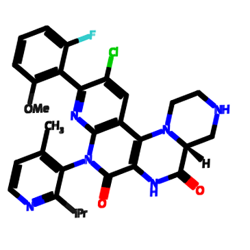 COc1cccc(F)c1-c1nc2c(cc1Cl)c1c(c(=O)n2-c2c(C)ccnc2C(C)C)NC(=O)[C@H]2CNCCN12